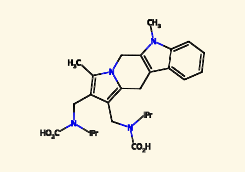 Cc1c(CN(C(=O)O)C(C)C)c(CN(C(=O)O)C(C)C)c2n1Cc1c(c3ccccc3n1C)C2